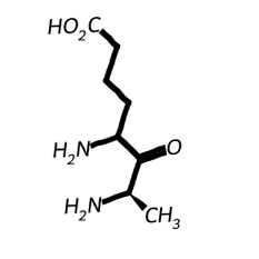 C[C@@H](N)C(=O)C(N)CCCC(=O)O